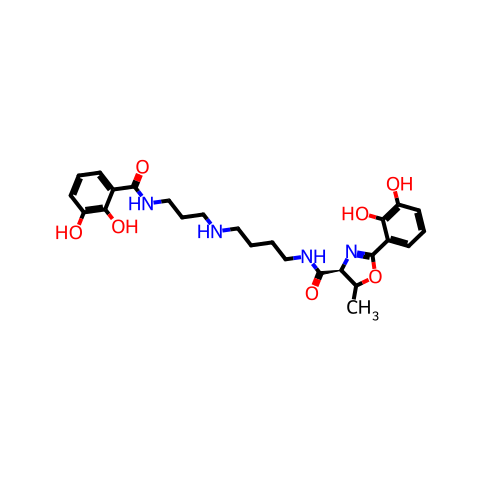 CC1OC(c2cccc(O)c2O)=N[C@@H]1C(=O)NCCCCNCCCNC(=O)c1cccc(O)c1O